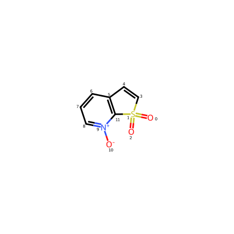 O=S1(=O)C=Cc2ccc[n+]([O-])c21